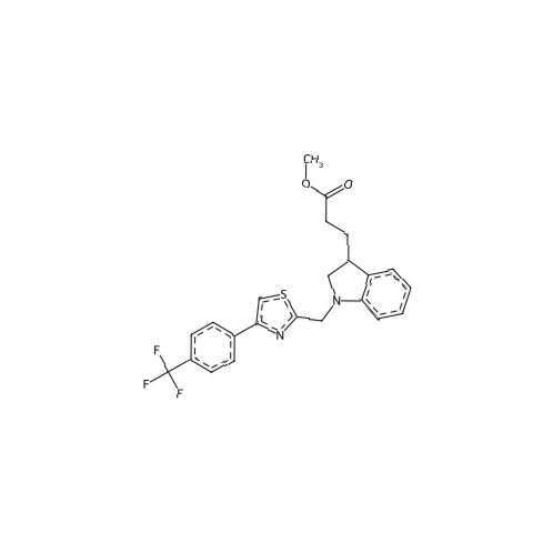 COC(=O)CCC1CN(Cc2nc(-c3ccc(C(F)(F)F)cc3)cs2)c2ccccc21